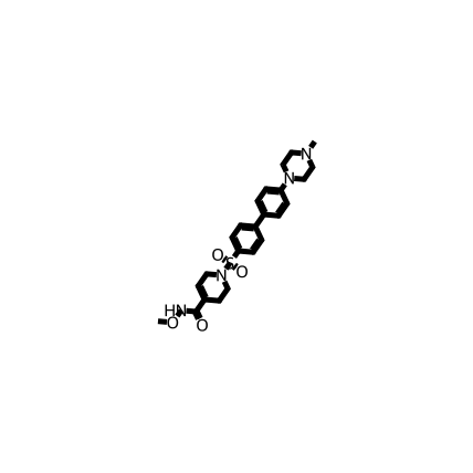 CONC(=O)C1=CCN(S(=O)(=O)c2ccc(-c3ccc(N4CCN(C)CC4)cc3)cc2)CC1